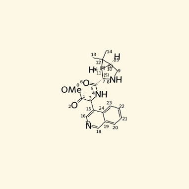 COC(=O)C(NC(=O)[C@H]1NC[C@H]2[C@@H]1C2(C)C)c1cncc2ccccc12